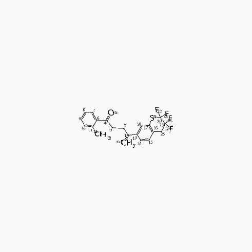 C=C(CCC(=O)c1ccccc1C)c1ccc2c(c1)SC(F)(F)C(F)(F)C2